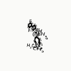 CC(C)C(=O)N1CCC(N(C)C(=O)Nc2ccc(-c3cc(F)ccc3F)nc2)CC1